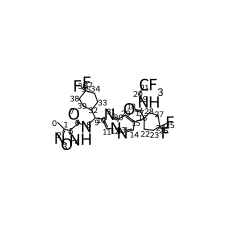 Cc1nonc1C(=O)NC(c1cn2ncc(C3(C(=O)NCC(F)(F)F)CCC(F)(F)CC3)cc2n1)C1CCC(F)(F)CC1